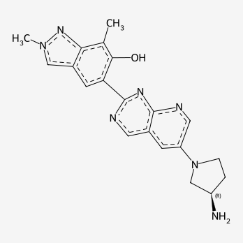 Cc1c(O)c(-c2ncc3cc(N4CC[C@@H](N)C4)cnc3n2)cc2cn(C)nc12